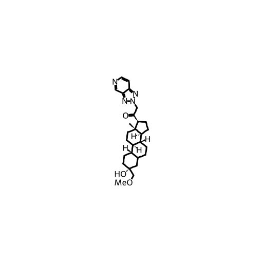 COC[C@@]1(O)CC[C@H]2C(CC[C@@H]3[C@@H]2CC[C@]2(C)[C@@H](C(=O)Cn4nc5ccncc5n4)CC[C@@H]32)C1